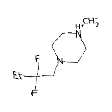 [CH2-][NH+]1CCN(CC(F)(F)CC)CC1